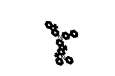 CC1(C)c2ccccc2-c2ccc(N(c3ccc(-c4ccccc4)cc3)c3ccc4c(c3)C(C)(C)c3cc5c(cc3-4)C(C)(C)c3ccccc3N5c3ccccc3)cc21